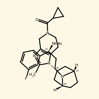 CC(=O)N[C@@H](CCN1[C@@H]2CC[C@H]1C[C@@H](n1c(C)nc3c1CCN(C(=O)C1CC1)C3)C2)c1cccc(F)c1